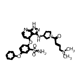 CN(C)C/C=C/C(=O)N1CCC(Nc2n[nH]c3nccc(Oc4ccc(Oc5ccccc5)cc4S(N)(=O)=O)c23)C1